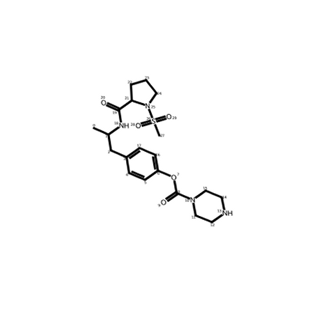 CC(Cc1ccc(OC(=O)N2CCNCC2)cc1)NC(=O)C1CCCN1S(C)(=O)=O